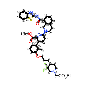 CCOC(=O)CN1CC[C@H](CCCOc2cccc(-c3ccc(N4CCc5cccc(C(=O)Nc6nc7ccccc7s6)c5C4)nc3C(=O)OC(C)(C)C)c2C)C(F)(F)C1